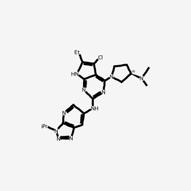 CCc1[nH]c2nc(Nc3cnc4c(c3)nnn4C(C)C)nc(N3CC[C@@H](N(C)C)C3)c2c1Cl